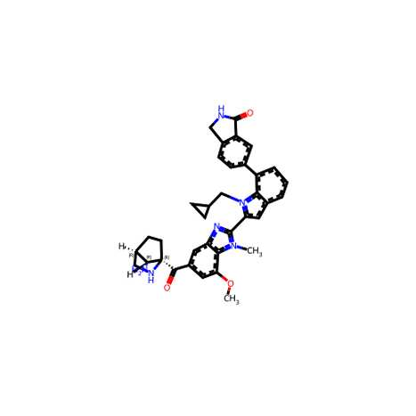 COc1cc(C(=O)[C@]23CC[C@H](CN2)[C@H]3N)cc2nc(-c3cc4cccc(-c5ccc6c(c5)C(=O)NC6)c4n3CC3CC3)n(C)c12